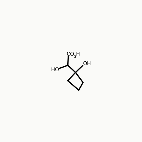 O=C(O)C(O)C1(O)CCC1